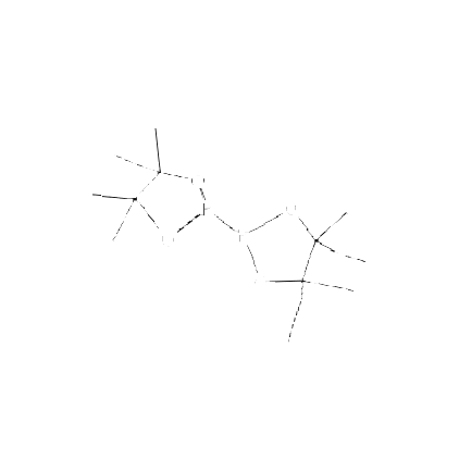 CC1(C)OP(P2OC(C)(C)C(C)(C)O2)OC1(C)C